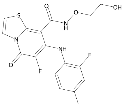 O=C(NOCCO)c1c(Nc2ccc(I)cc2F)c(F)c(=O)n2ccsc12